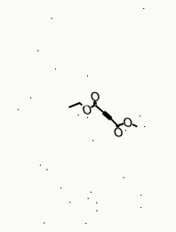 CCOC(=O)C#CC(=O)OC